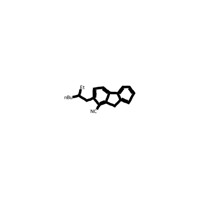 CCCCC(CC)Cc1ccc2c(c1C#N)[C]c1ccccc1-2